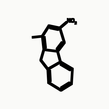 Cc1cc([N+](=O)[O-])cc2c1Cc1ccccc1-2